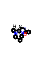 C=C1/C=C\c2c(oc3ccccc23)N(c2ccccc2)c2cc3c(cc21)c1ccccc1n3-c1cccc(-c2ccccc2)c1